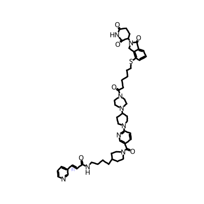 O=C(/C=C/c1cccnc1)NCCCCC1CCN(C(=O)c2ccc(N3CCC(N4CCN(C(=O)CCCCCSc5cccc6c5CN(C5CCC(=O)NC5=O)C6=O)CC4)CC3)nc2)CC1